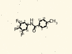 Cc1ccc(C(=O)Nc2cc(F)c(F)c(F)c2)cc1